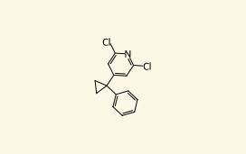 Clc1cc(C2(c3ccccc3)CC2)cc(Cl)n1